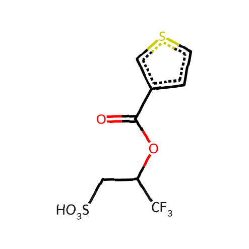 O=C(OC(CS(=O)(=O)O)C(F)(F)F)c1ccsc1